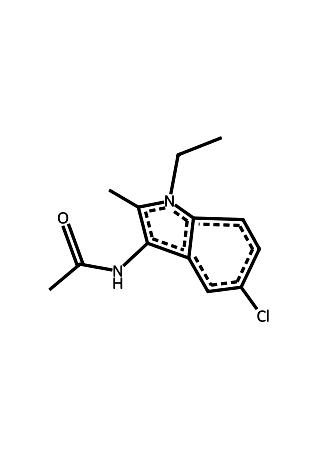 CCn1c(C)c(NC(C)=O)c2cc(Cl)ccc21